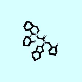 O=C(CN1CCc2ccccc2[C@@H]1c1ccccc1F)N(Cc1ccccc1F)C1Cc2ccccc2C1